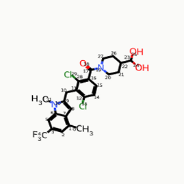 Cc1cc(C(F)(F)F)cc2c1cc(Cc1c(Cl)ccc(C(=O)N3CCC(C(O)O)CC3)c1Cl)n2C